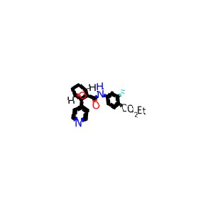 CCOC(=O)c1ccc(NC(=O)C2=C(c3ccncc3)[C@@H]3CC[C@@H]2O3)cc1F